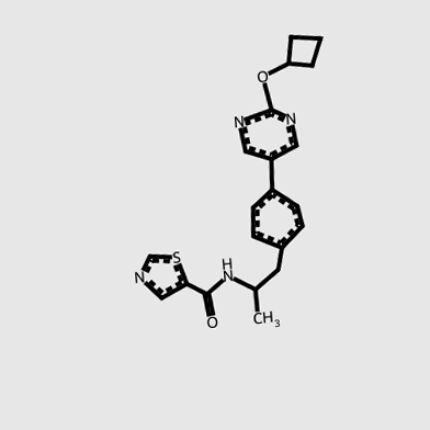 CC(Cc1ccc(-c2cnc(OC3CCC3)nc2)cc1)NC(=O)c1cncs1